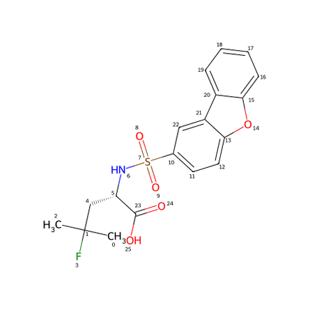 CC(C)(F)C[C@H](NS(=O)(=O)c1ccc2oc3ccccc3c2c1)C(=O)O